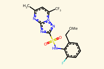 COCc1cccc(F)c1NS(=O)(=O)c1nc2nc(C)cc(C(F)(F)F)n2n1